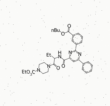 CCCCOC(=O)c1cccc(-c2nc(C(=O)NC(CC)C(=O)N3CCN(C(=O)OCC)CC3)cc(-c3ccccc3)n2)c1